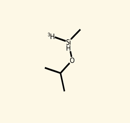 [3H][SiH](C)OC(C)C